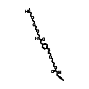 CC#CCNC(=O)OCCCCOCSSc1ccc(CC(=O)NCCOCCOCCOCCNC)cc1